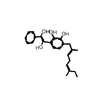 CCC(C)=CCC=C(C)Cc1ccc(C(O)=C(O)c2ccccc2)c(O)c1O